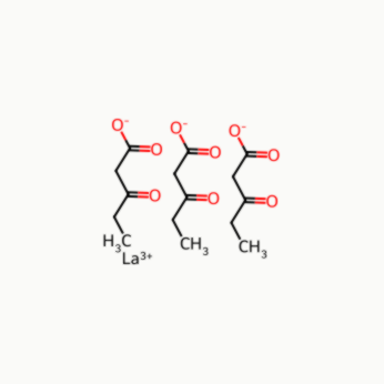 CCC(=O)CC(=O)[O-].CCC(=O)CC(=O)[O-].CCC(=O)CC(=O)[O-].[La+3]